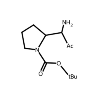 CC(=O)C(N)C1CCCN1C(=O)OC(C)(C)C